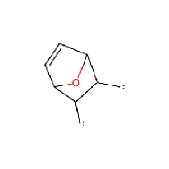 [CH]C1C2C=CC(O2)C1[CH]